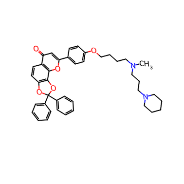 CN(CCCCOc1ccc(-c2cc(=O)c3ccc4c(c3o2)OC(c2ccccc2)(c2ccccc2)O4)cc1)CCCN1CCCCC1